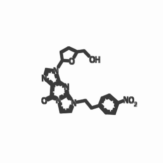 O=c1c2ncn(C3CCC(CO)O3)c2nc2n(CCc3ccc([N+](=O)[O-])cc3)ccn12